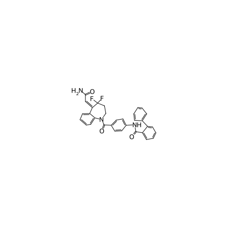 NC(=O)/C=C1/c2ccccc2N(C(=O)c2ccc(NC(=O)c3ccccc3-c3ccccc3)cc2)CCC1(F)F